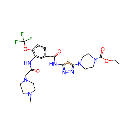 CCOC(=O)N1CCN(c2nnc(NC(=O)c3ccc(OC(F)(F)F)c(NC(=O)CN4CCN(C)CC4)c3)s2)CC1